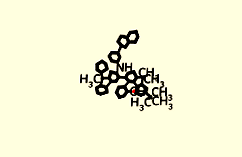 Cc1ccccc1-c1c(-c2cc3c(cc2Nc2cccc(-c4ccc5ccccc5c4)c2)C(C)(c2ccccc2)c2ccccc2-3)ccc2c1-c1ccc(C(C)(C)C)cc1C2(C)C